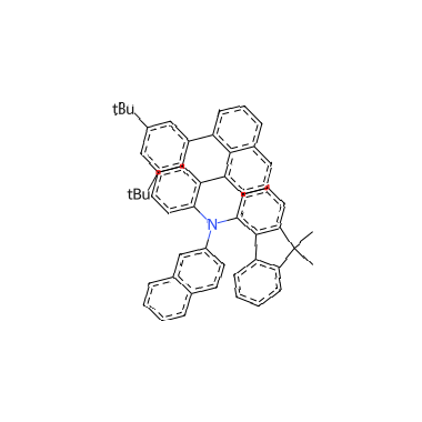 CC(C)(C)c1cc(-c2cccc3cccc(-c4ccccc4N(c4ccc5ccccc5c4)c4cccc5c4-c4ccccc4C5(C)C)c23)cc(C(C)(C)C)c1